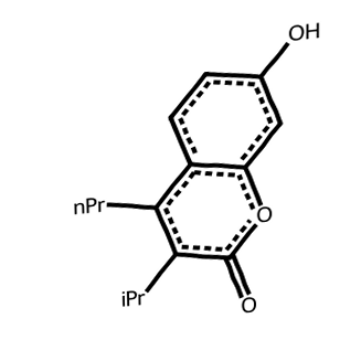 CCCc1c(C(C)C)c(=O)oc2cc(O)ccc12